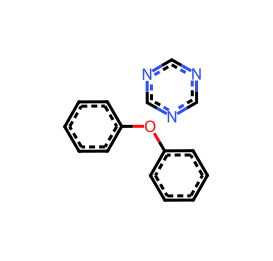 c1ccc(Oc2ccccc2)cc1.c1ncncn1